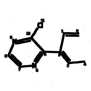 C=C/C(=C\C)c1nccnc1Cl